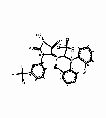 CN1C(=O)C(=NC(N(c2ccccc2Br)c2ccccc2Br)C(Cl)(Cl)Cl)N(c2cccc(C(F)(F)F)c2)C1=O